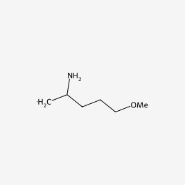 [CH2]C(N)CCCOC